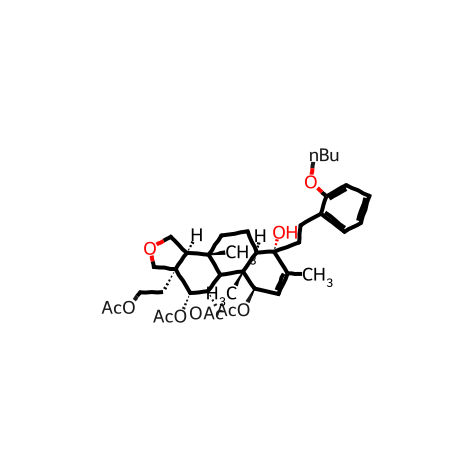 CCCCOc1ccccc1CC[C@@]1(O)C(C)=C[C@@H](OC(C)=O)[C@]2(C)C3[C@H](OC(C)=O)[C@H](OC(C)=O)[C@@]4(CCOC(C)=O)COC[C@H]4[C@]3(C)CC[C@H]21